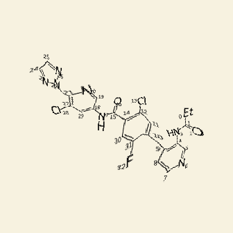 CCC(=O)Nc1cnccc1-c1cc(Cl)c(C(=O)Nc2cnc(-n3nccn3)c(Cl)c2)cc1F